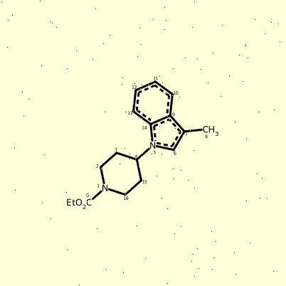 CCOC(=O)N1CCC(n2cc(C)c3ccccc32)CC1